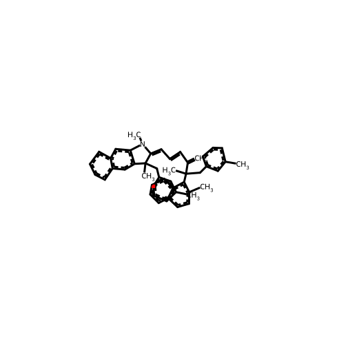 C=C(/C=C/C=C1/N(C)c2cc3ccccc3cc2C1(C)Cc1cccc(C)c1)C(C)(Cc1cccc(C)c1)c1c(C)ccc2ccccc12